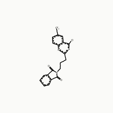 O=C1c2ccccc2C(=O)N1CCCc1nc(Cl)c2cc(C(F)(F)F)ccc2n1